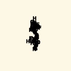 Cc1ncsc1-c1ccc([C@@]2(C)NC([C@@H]3C[C@@H](O)CN3C(=O)[C@H](c3cc(OCCN4CC[C@H](NC(=O)c5cc6c(cc5CS(C)(=O)=O)-c5cn(C)c(=O)c7[nH]cc(c57)CN6c5ncc(F)cc5F)C4)no3)C(C)C)=NC2=O)cc1